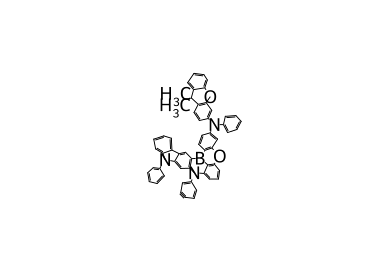 CC1(C)c2ccccc2Oc2cc(N(c3ccccc3)c3ccc4c(c3)Oc3cccc5c3B4c3cc4c6ccccc6n(-c6ccccc6)c4cc3N5c3cc#ccc3)ccc21